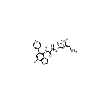 CN(C)C(/C=C(\N)SNC(=O)Nc1c(-c2ccncc2)cc(F)c2c1CCC2)=C/N